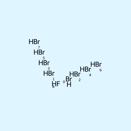 Br.Br.Br.Br.Br.Br.Br.Br.F